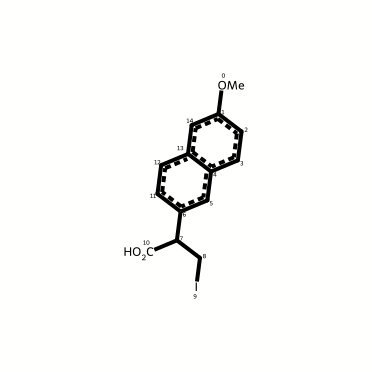 COc1ccc2cc(C(CI)C(=O)O)ccc2c1